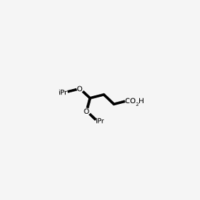 CC(C)OC(CCC(=O)O)OC(C)C